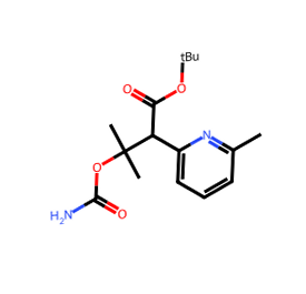 Cc1cccc(C(C(=O)OC(C)(C)C)C(C)(C)OC(N)=O)n1